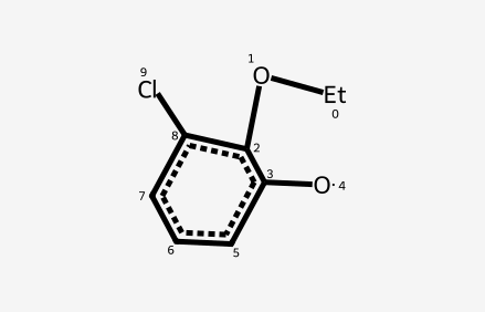 CCOc1c([O])cccc1Cl